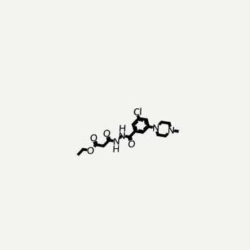 CCOC(=O)CC(=O)NNC(=O)c1cc(Cl)cc(N2CCN(C)CC2)c1